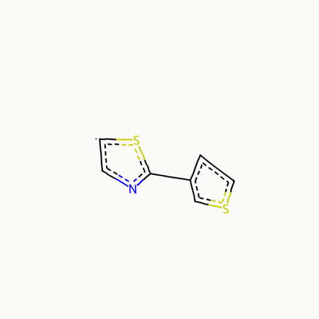 [c]1cnc(-c2ccsc2)s1